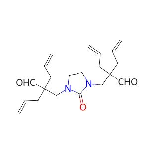 C=CCC(C=O)(CC=C)CN1CCN(CC(C=O)(CC=C)CC=C)C1=O